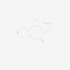 COC1=c2ncc(F)cc2=CC(=CC(=O)O)c2sc(Cl)cc21